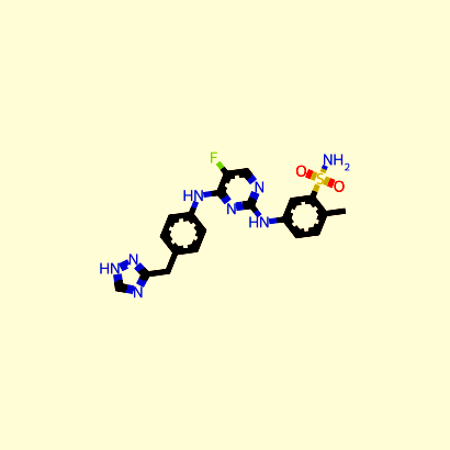 Cc1ccc(Nc2ncc(F)c(Nc3ccc(Cc4nc[nH]n4)cc3)n2)cc1S(N)(=O)=O